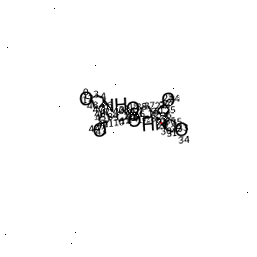 COc1ccc2[nH]c3c(-c4ccc(S(=O)(=O)c5ccc(-c6cc(OC)cc7c6[nH]c6ccc(OC)cc67)cc5)cc4)cc(OC)cc3c2c1